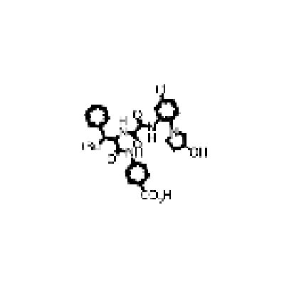 CC(C)(C)C(c1ccccc1)C(NC(=O)C(=O)Nc1cc(Cl)ccc1N1CC[C@@H](O)C1)C(=O)Nc1ccc(C(=O)O)cc1